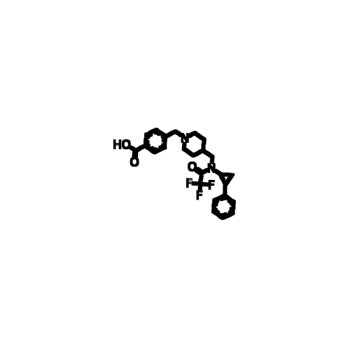 O=C(O)c1ccc(CN2CCC(CN(C(=O)C(F)(F)F)C3CC3c3ccccc3)CC2)cc1